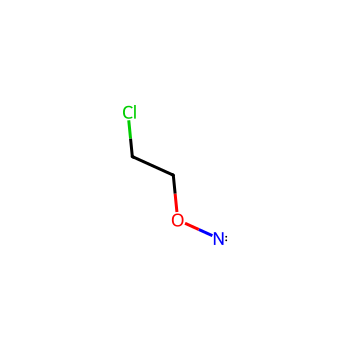 [N]OCCCl